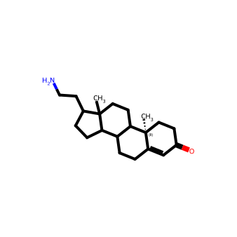 CC12CCC3C(CCC4=CC(=O)CC[C@@]43C)C1CCC2CCN